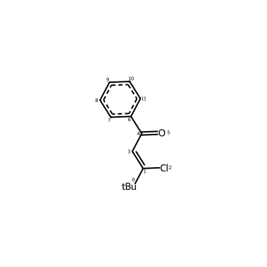 CC(C)(C)/C(Cl)=C/C(=O)c1ccccc1